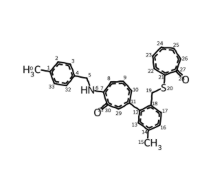 Cc1ccc(CNc2cccc(-c3cc(C)ccc3CSc3cccccc3=O)cc2=O)cc1